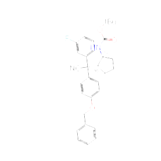 CC(C)(C)OC(=O)N[C@H]1CCC[C@@H]1C(C#N)(c1ccc(OCc2ccccc2)cc1)c1cccc(F)c1